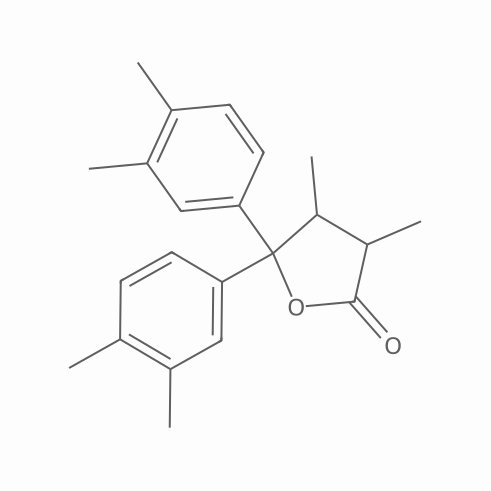 Cc1ccc(C2(c3ccc(C)c(C)c3)OC(=O)C(C)C2C)cc1C